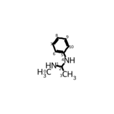 CNC(C)Nc1ccccc1